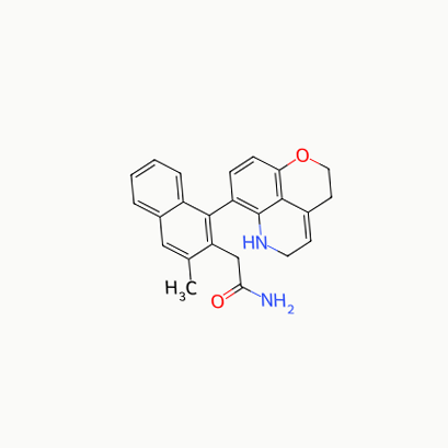 Cc1cc2ccccc2c(-c2ccc3c4c2NCC=C4CCO3)c1CC(N)=O